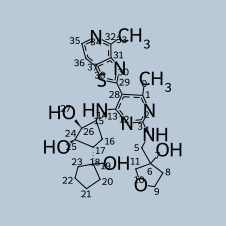 Cc1nc(NCC2(O)CCOC2)nc(NC2C[C@H](C3(O)CCCC3)[C@@H](O)[C@H]2O)c1-c1nc2c(C)nccc2s1